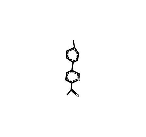 CC(=O)c1ccc(-c2ccc(C)cc2)cn1